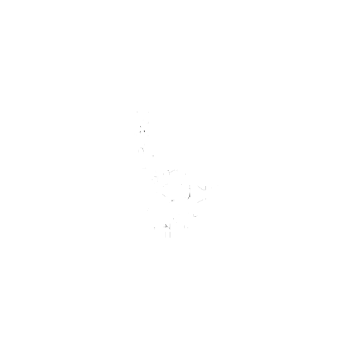 CCC(=O)CCc1cc(F)cc(O[C@H]2C[C@@H](NC(C)CCC(C)C(=O)COCCCOC3CN(C(C)C)C3)C2)c1